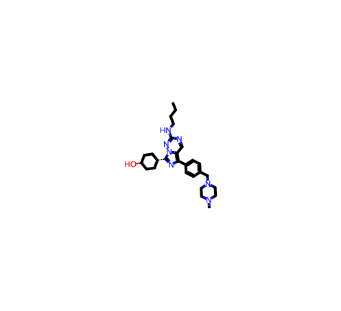 CCCCNc1ncc2c(-c3ccc(CN4CCN(C)CC4)cc3)nc([C@H]3CC[C@H](O)CC3)n2n1